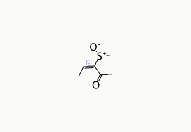 C/C=C(\C(C)=O)[S+](C)[O-]